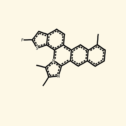 Cc1nc2c3cc4cccc(C)c4cc3c3ccc4cc(F)sc4c3n2c1C